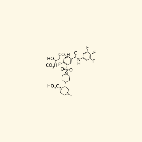 CN1CCN(C(=O)O)C(C2CCN(S(=O)(=O)c3cc(C(=O)Nc4cc(F)c(F)c(F)c4)ccc3F)CC2)C1.O=C(O)CC(O)C(=O)O